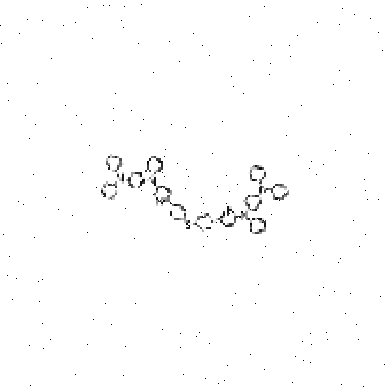 C1=CC(c2ccc(-n3c4ccccc4c4cc(N(c5ccccc5)c5ccccc5)ccc43)nc2)CCC1SC1C=CC(c2ccc(-n3c4ccccc4c4cc(N(c5ccccc5)c5ccccc5)ccc43)cn2)CC1